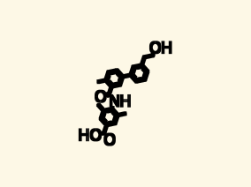 Cc1ccc(-c2cccc(CCO)c2)cc1C(=O)Nc1c(C)cc(C(=O)O)cc1C